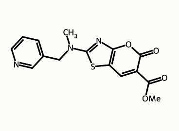 COC(=O)c1cc2sc(N(C)Cc3cccnc3)nc2oc1=O